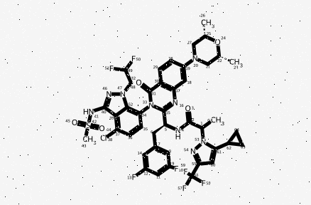 CC(C(=O)N[C@@H](Cc1cc(F)cc(F)c1)c1nc2cc(N3C[C@@H](C)O[C@@H](C)C3)ccc2c(=O)n1-c1ccc(Cl)c2c(NS(C)(=O)=O)nn(CC(F)F)c12)n1nc(C(F)(F)F)cc1C1CC1